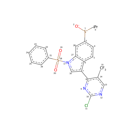 CC(C)[S+]([O-])c1ccc2c(-c3nc(Cl)ncc3C(F)(F)F)cn(S(=O)(=O)c3ccccc3)c2c1